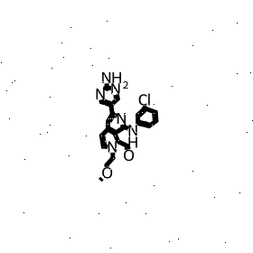 COCCN1C=Cc2cc(-c3cnc(N)nc3)nc(Nc3cccc(Cl)c3)c2C1C=O